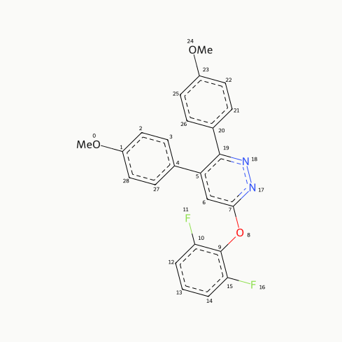 COc1ccc(-c2cc(Oc3c(F)cccc3F)nnc2-c2ccc(OC)cc2)cc1